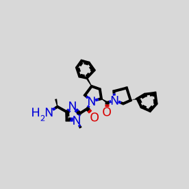 C[C@H](N)c1cn(C)c(C(=O)N2C[C@@H](c3ccccc3)C[C@H]2C(=O)N2CC[C@H](c3ccccc3)C2)n1